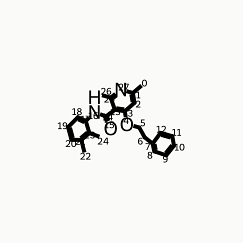 Cc1cc(OCCc2ccccc2)c(C(=O)Nc2cccc(C)c2C)c(C)n1